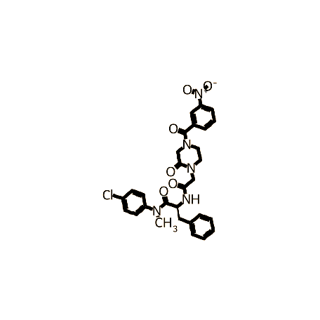 CN(C(=O)[C@H](Cc1ccccc1)NC(=O)CN1CCN(C(=O)c2cccc([N+](=O)[O-])c2)CC1=O)c1ccc(Cl)cc1